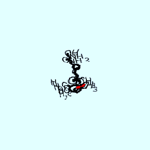 C=C[C@]1(C)C[C@@H](OC(=O)CSc2cccc(CNC(=O)[C@H](N)CO)c2)[C@]2(C)C(C)CC34CC(CCC3=O)(C42)[C@@H](C)[C@@H]1O